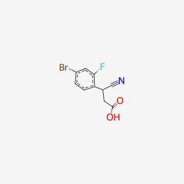 N#CC(CC(=O)O)c1ccc(Br)cc1F